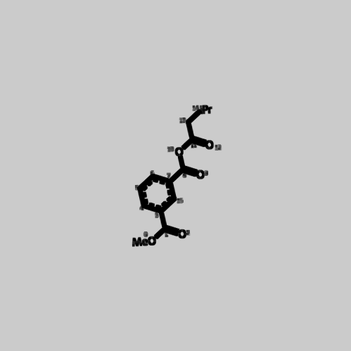 COC(=O)c1cccc(C(=O)OC(=O)CC(C)C)c1